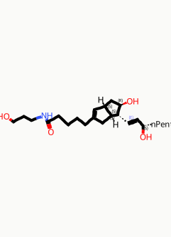 CCCCC[C@H](O)/C=C/[C@@H]1[C@H]2CC(CCCCC(=O)NCCCO)=C[C@H]2C[C@H]1O